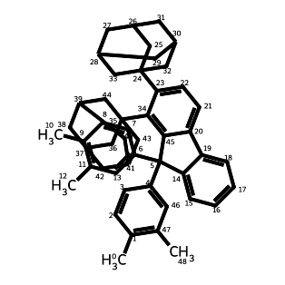 Cc1ccc(C2(c3ccc(C)c(C)c3)c3ccccc3-c3ccc(C45CC6CC(CC(C6)C4)C5)c(C45CC6CC(CC(C6)C4)C5)c32)cc1C